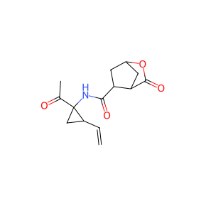 C=CC1CC1(NC(=O)C1CC2CC1C(=O)O2)C(C)=O